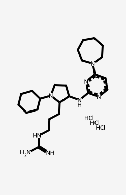 Cl.Cl.Cl.N=C(N)NCCCC1C(Nc2nccc(N3CCCCCC3)n2)CCN1C1CCCCC1